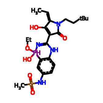 C/C=C1\C(O)=C(C2=N[PH](O)(OCC)c3cc(NS(C)(=O)=O)ccc3N2)C(=O)N1CCC(C)(C)C